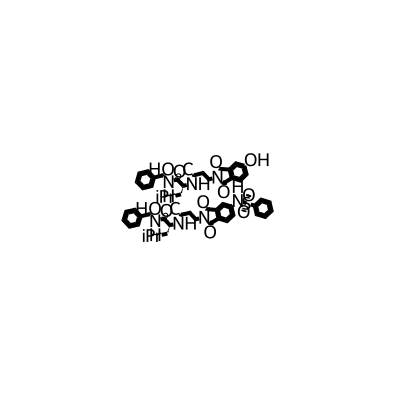 CC(C)C[C@@H](NC(CCN1C(=O)c2ccc(NS(=O)(=O)c3ccccc3)cc2C1=O)C(=O)O)C(=O)NCc1ccccc1.CC(C)C[C@@H](NC(CCN1C(=O)c2ccc(O)cc2C1=O)C(=O)O)C(=O)NCc1ccccc1